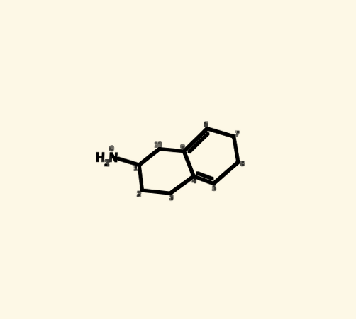 NC1CCC2=CCCC=C2C1